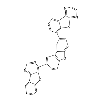 c1ccc2c(c1)oc1c(-c3ccc4oc5ccc(-c6cccc7c6sc6nccnc67)cc5c4c3)ncnc12